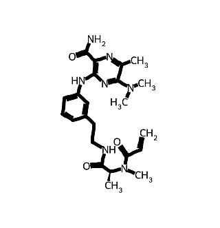 C=CC(=O)N(C)[C@@H](C)C(=O)NCCc1cccc(Nc2nc(N(C)C)c(C)nc2C(N)=O)c1